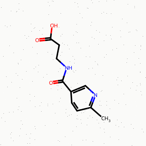 Cc1ccc(C(=O)NCCC(=O)O)cn1